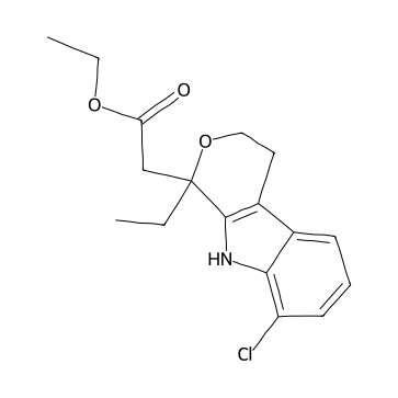 CCOC(=O)CC1(CC)OCCc2c1[nH]c1c(Cl)cccc21